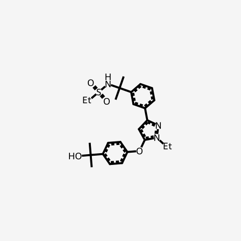 CCn1nc(-c2cccc(C(C)(C)NS(=O)(=O)CC)c2)cc1Oc1ccc(C(C)(C)O)cc1